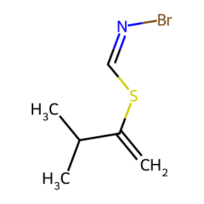 C=C(S/C=N\Br)C(C)C